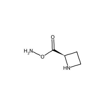 NOC(=O)[C@H]1CCN1